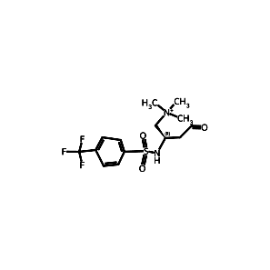 C[N+](C)(C)C[C@@H](CC=O)NS(=O)(=O)c1ccc(C(F)(F)F)cc1